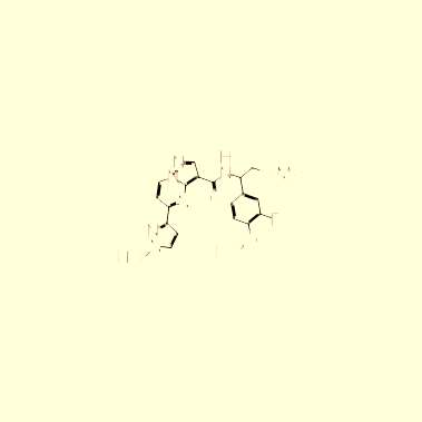 COCC(NC(=O)c1cnn2ccc(-c3ccn(C)n3)nc12)c1ccc(OC(F)(F)F)c(F)c1